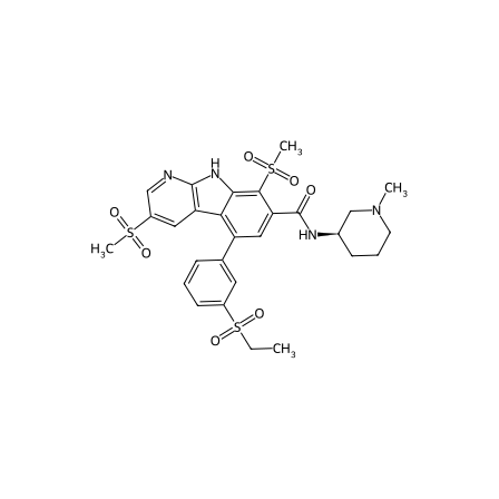 CCS(=O)(=O)c1cccc(-c2cc(C(=O)N[C@@H]3CCCN(C)C3)c(S(C)(=O)=O)c3[nH]c4ncc(S(C)(=O)=O)cc4c23)c1